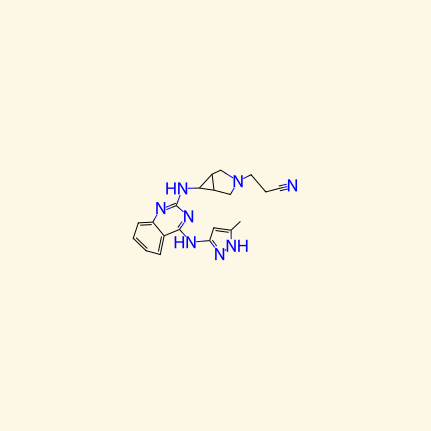 Cc1cc(Nc2nc(NC3C4CN(CCC#N)CC43)nc3ccccc23)n[nH]1